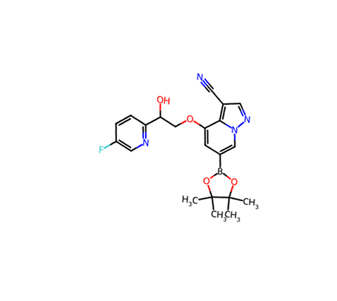 CC1(C)OB(c2cc(OCC(O)c3ccc(F)cn3)c3c(C#N)cnn3c2)OC1(C)C